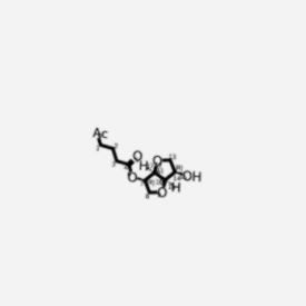 CC(=O)CCCC(=O)O[C@@H]1CO[C@H]2[C@@H]1OC[C@H]2O